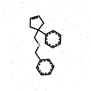 C1=CCC(CSCc2ccccc2)(c2ccccc2)C1